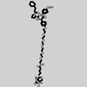 COc1ccc(NC(=O)[C@@H](NC(=O)[C@@H]2CCCN2C(=O)CCC2CCCCC2)c2ccc(OCCOCCOCCOCCOCCOCCNC(=O)CCCC[C@@H]3SC[C@@H]4NC(=O)N[C@@H]43)cc2)cc1